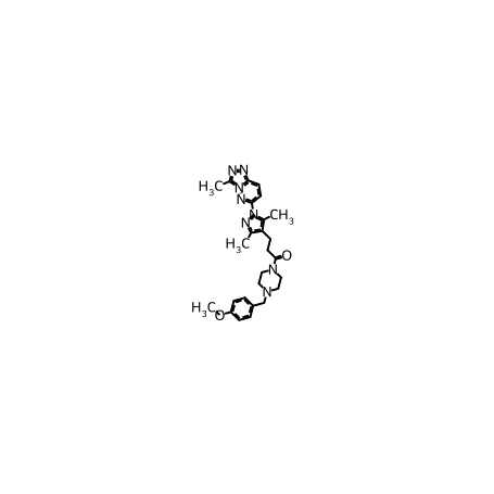 COc1ccc(CN2CCN(C(=O)CCc3c(C)nn(-c4ccc5nnc(C)n5n4)c3C)CC2)cc1